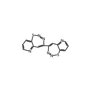 C1=C(C2=Cc3ncccc3SN=N2)N=NSc2cccnc21